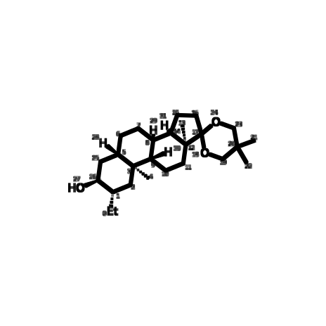 CC[C@H]1C[C@@]2(C)[C@@H](CC[C@@H]3[C@@H]2CC[C@@]2(C)[C@H]3CCC23OCC(C)(C)CO3)C[C@@H]1O